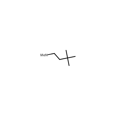 [C]NCCC(C)(C)C